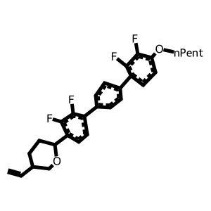 C=CC1CCC(c2ccc(-c3ccc(-c4ccc(OCCCCC)c(F)c4F)cc3)c(F)c2F)OC1